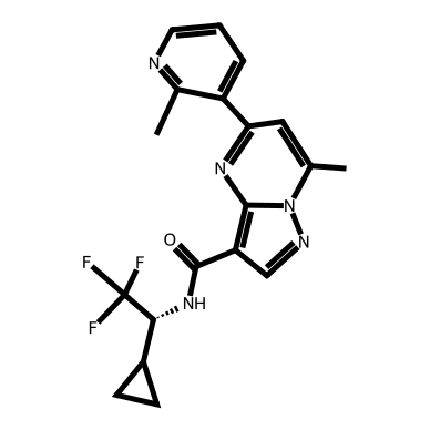 Cc1ncccc1-c1cc(C)n2ncc(C(=O)N[C@H](C3CC3)C(F)(F)F)c2n1